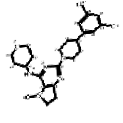 [O-][S+]1CCc2nc(N3CCC(c4cc(Cl)cc(Cl)c4)CC3)nc(NC3CCOCC3)c21